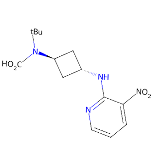 CC(C)(C)N(C(=O)O)[C@H]1C[C@H](Nc2ncccc2[N+](=O)[O-])C1